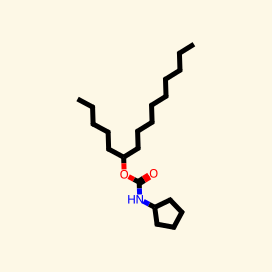 CCCCCCCCCC(CCCCC)OC(=O)NC1CCCC1